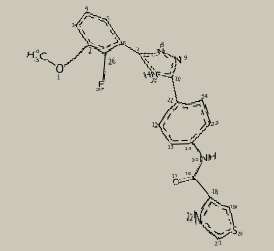 COc1cccc(-c2nnc(-c3ccc(NC(=O)c4cscn4)cc3)[nH]2)c1F